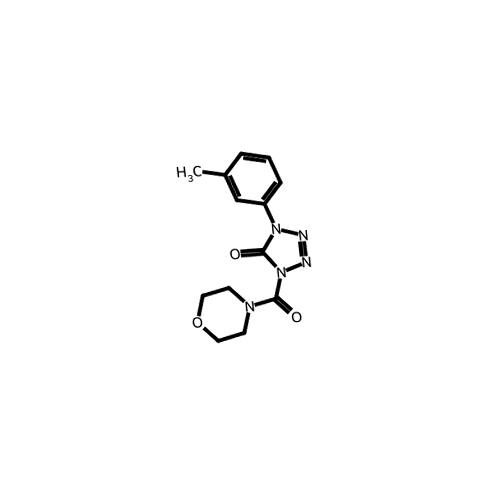 Cc1cccc(-n2nnn(C(=O)N3CCOCC3)c2=O)c1